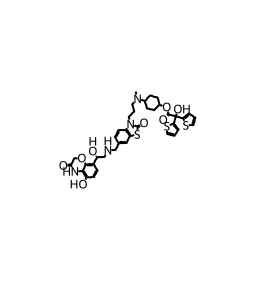 CN(CCCn1c(=O)sc2cc(CNC[C@@H](O)c3ccc(O)c4c3OCC(=O)N4)ccc21)C1CCC(OC(=O)C(O)(c2cccs2)c2cccs2)CC1